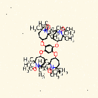 CON1C(C)(C)CCC(Oc2cc(OC3CCC(C)(C)N(OC)C(C)(C)C3)c(OC3CCC(C)(C)N(OC)C(C)(C)C3)cc2OC2CCC(C)(C)N(OC)C(C)(C)C2)CC1(C)C